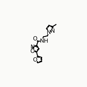 Cc1ccn(CCNC(=O)c2cc(-c3ccco3)on2)n1